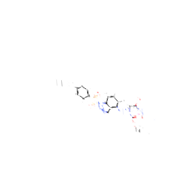 Cc1ccc(S(=O)(=O)n2ncc3cc(C[C@H](NC(=O)OC(C)(C)C)C(N)=O)ccc32)cc1